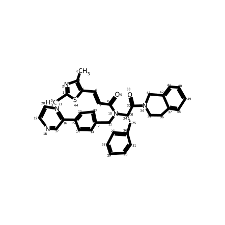 Cc1nc(C)c(C=CC(=O)N(Cc2ccc(-c3cnccn3)cc2)[C@@H](Cc2ccccc2)C(=O)N2CCc3ccccc3C2)s1